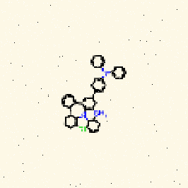 Nc1ccccc1N1c2ccc(-c3ccc(N(c4ccccc4)c4ccccc4)cc3)cc2-c2ccccc2-c2cccc(Cl)c21